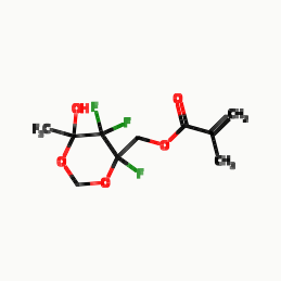 C=C(C)C(=O)OCC1(F)OCOC(O)(C(F)(F)F)C1(F)F